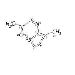 C=C(C)/C=N\c1sccc1C